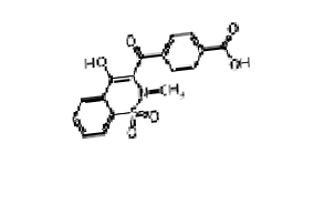 CN1C(C(=O)c2ccc(C(=O)O)cc2)=C(O)c2ccccc2S1(=O)=O